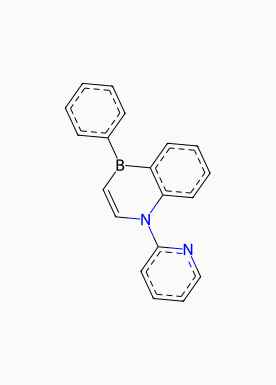 C1=CN(c2ccccn2)c2ccccc2B1c1ccccc1